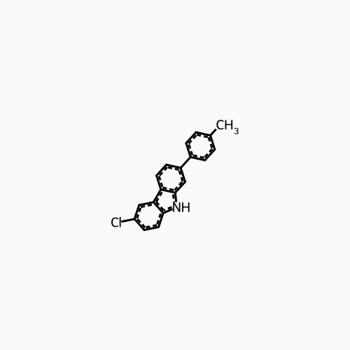 Cc1ccc(-c2ccc3c(c2)[nH]c2ccc(Cl)cc23)cc1